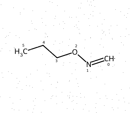 [CH]=NOCCC